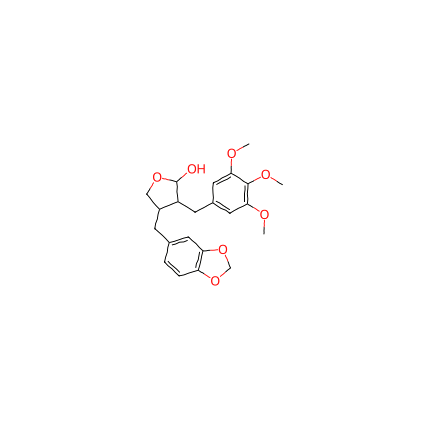 COc1cc(CC2C(Cc3ccc4c(c3)OCO4)COC2O)cc(OC)c1OC